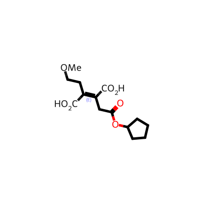 COCC/C(C(=O)O)=C(/CC(=O)OC1CCCC1)C(=O)O